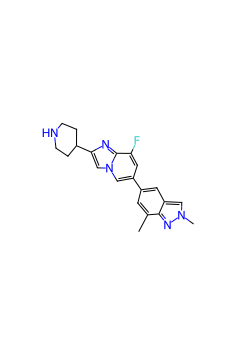 Cc1cc(-c2cc(F)c3nc(C4CCNCC4)cn3c2)cc2cn(C)nc12